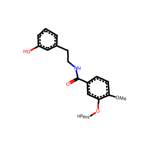 CCCCCOc1cc(C(=O)NCCc2cccc(O)c2)ccc1OC